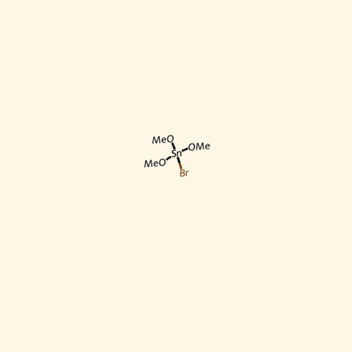 C[O][Sn]([Br])([O]C)[O]C